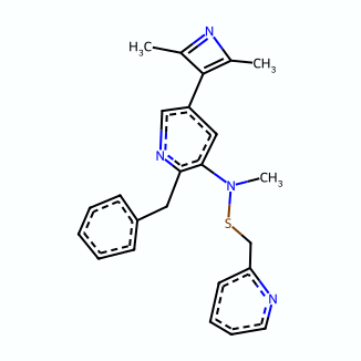 CC1=NC(C)=C1c1cnc(Cc2ccccc2)c(N(C)SCc2ccccn2)c1